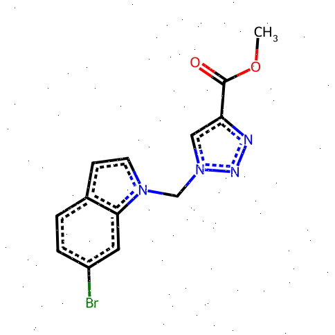 COC(=O)c1cn(Cn2ccc3ccc(Br)cc32)nn1